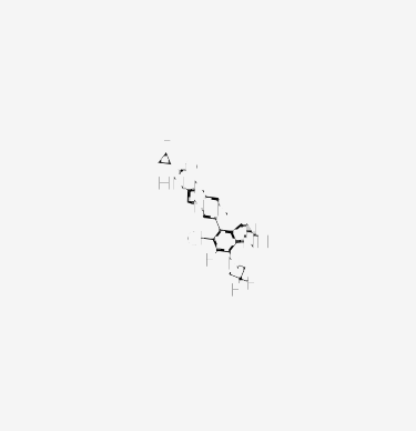 O=C(Nc1cn2cc(-c3c(Cl)c(F)c(N4CC(F)(F)C4)c4[nH]ncc34)ncc2n1)[C@@H]1C[C@@H]1F